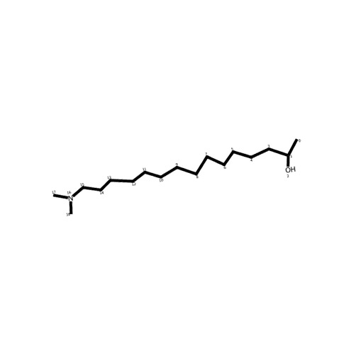 CC(O)CCCCCCCCCCCCCN(C)C